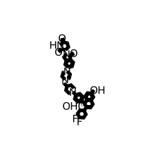 O=C[C@@]1(c2ccc(N3CCC(CN4CCN(c5ccc6c(c5)CN(C5CCC(=O)NC5=O)C6=O)CC4)CC3)cc2)C(C2CCC(F)(F)CC2)=CCc2cc(O)ccc21